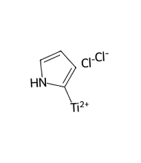 [Cl-].[Cl-].[Ti+2][c]1ccc[nH]1